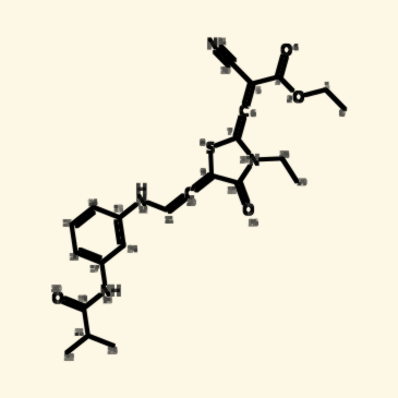 CCOC(=O)C(=C=c1sc(=C=CNc2cccc(NC(=O)C(C)C)c2)c(=O)n1CC)C#N